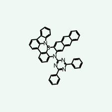 c1ccc(-c2nc(-c3ccccc3)nc(N3c4cc5cc6ccccc6cc5cc4B4c5c(cccc53)-c3cccc5c6ccccc6n4c35)n2)cc1